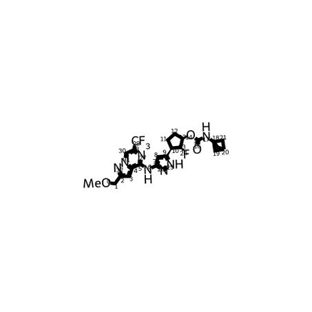 COCc1cc2c(Nc3cc([C@H]4CC[C@@H](OC(=O)NC56CC(C5)C6)[C@H]4F)[nH]n3)nc(C(F)(F)F)cn2n1